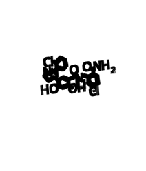 CN(Cc1cc(Cl)ccc1C(N)=O)C(=O)c1cc(-c2ccnn2-c2ccccc2Cl)c(O)cc1O